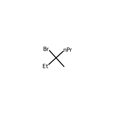 [CH2]CC(C)(Br)CCC